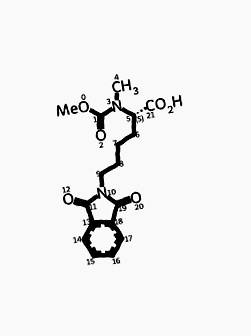 COC(=O)N(C)[C@@H](CCCCN1C(=O)c2ccccc2C1=O)C(=O)O